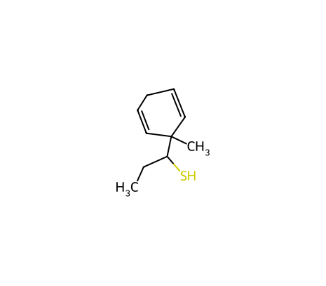 CCC(S)C1(C)C=CCC=C1